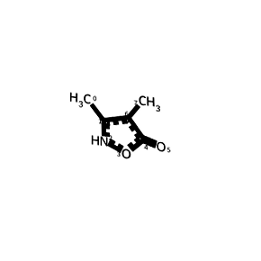 Cc1[nH]oc(=O)c1C